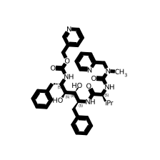 CC(C)[C@H](NC(=O)N(C)Cc1ccccn1)C(=O)N[C@@H](Cc1ccccc1)[C@@H](O)[C@@H](O)[C@H](Cc1ccccc1)NC(=O)OCc1cccnc1